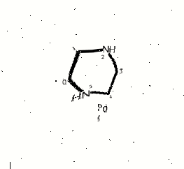 C1CNCCN1.[Pd]